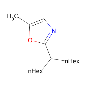 CCCCCCC(CCCCCC)c1ncc(C)o1